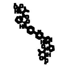 COC(=O)N[C@H](C(=O)N1CCC[C@H]1C(=O)Nc1ccc(-c2ccc(-c3cnc([C@@H]4CCCN4C(=O)[C@@H](NC(=O)OC)C(C)C)[nH]3)cn2)cc1)C(C)C